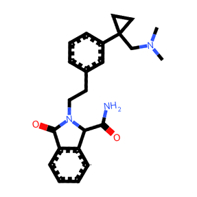 CN(C)CC1(c2cccc(CCN3C(=O)c4ccc[c]c4C3C(N)=O)c2)CC1